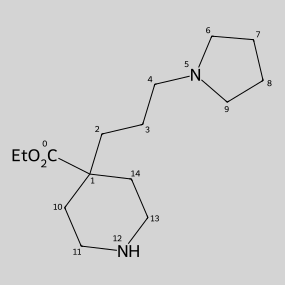 CCOC(=O)C1(CCCN2CCCC2)CCNCC1